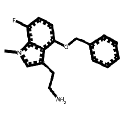 Cn1cc(CCN)c2c(OCc3ccccc3)ccc(F)c21